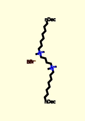 CCCCCCCCCCCCCCCCCC[N+](C)(C)CCCC[N+](C)(C)CCCCCCCCCCCCCCCCCC.[Br-].[Br-]